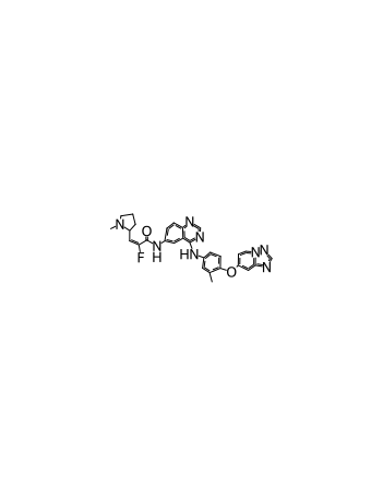 Cc1cc(Nc2ncnc3ccc(NC(=O)/C(F)=C\C4CCCN4C)cc23)ccc1Oc1ccn2ncnc2c1